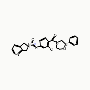 O=C(c1ccc(/N=[SH](=O)/N2Cc3cccnc3C2)cc1Cl)N1CCO[C@@H](c2ccccc2)C1